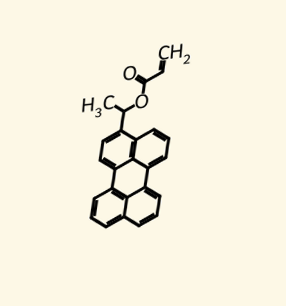 C=CC(=O)OC(C)c1ccc2c3cccc4cccc(c5cccc1c52)c43